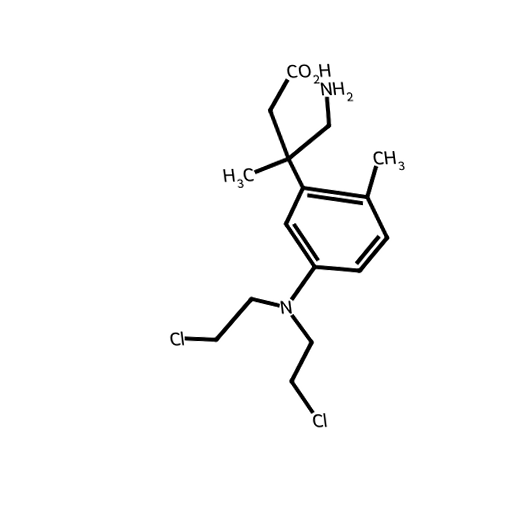 Cc1ccc(N(CCCl)CCCl)cc1C(C)(CN)CC(=O)O